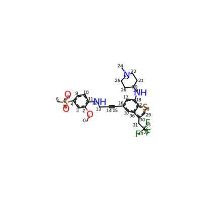 COc1cc(S(C)(=O)=O)ccc1NCC#Cc1cc(NC2CCN(C)CC2)c2scc(CC(F)(F)F)c2c1